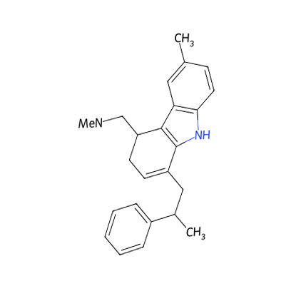 CNCC1CC=C(CC(C)c2ccccc2)c2[nH]c3ccc(C)cc3c21